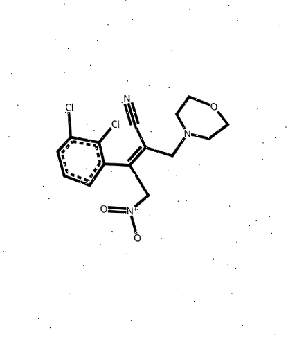 N#CC(CN1CCOCC1)=C(C[N+](=O)[O-])c1cccc(Cl)c1Cl